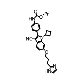 CC(C)OC(=O)Nc1ccc(-c2c(C#N)c3ccc(OCCCc4ncc[nH]4)cc3n2C2CCC2)cc1